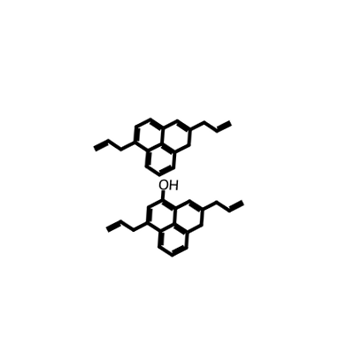 C=CCC1=Cc2c(O)cc(CC=C)c3cccc(c23)C1.C=CCC1=Cc2ccc(CC=C)c3cccc(c23)C1